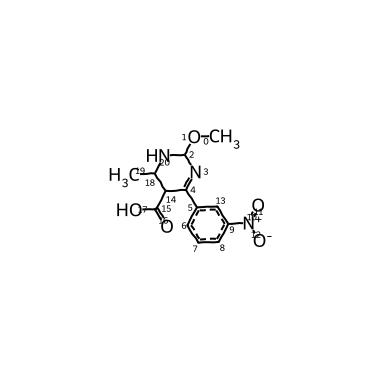 COC1N=C(c2cccc([N+](=O)[O-])c2)C(C(=O)O)C(C)N1